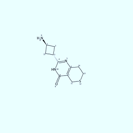 N[C@H]1C[C@H](c2nc3c(c(=O)[nH]2)CSCC3)C1